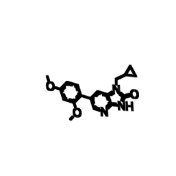 COc1ccc(-c2cnc3[nH]c(=O)n(CC4CC4)c3c2)c(OC)c1